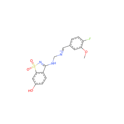 COc1cc(/C=N/CNC2=NS(=O)(=O)c3cc(O)ccc32)ccc1F